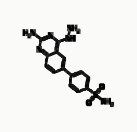 NNc1nc(N)nc2ccc(-c3ccc(S(N)(=O)=O)cc3)cc12